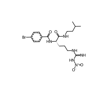 CC(C)CCNC(=O)[C@H](CCCNC(=N)N[N+](=O)[O-])NC(=O)c1ccc(Br)cc1